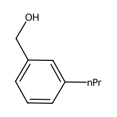 [CH2]CCc1cccc(CO)c1